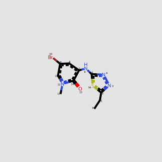 CCc1nnc(Nc2cc(Br)cn(C)c2=O)s1